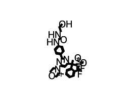 C[C@H]1COCCN1c1cc(C(C)(C=S(=O)=O)c2ccccc2C(F)(F)F)nc(-c2ccc(NC(=O)NCCO)cc2)n1